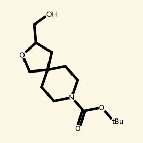 CC(C)(C)OC(=O)N1CCC2(CC1)COC(CO)C2